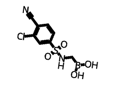 N#Cc1ccc(S(=O)(=O)NCB(O)O)cc1Cl